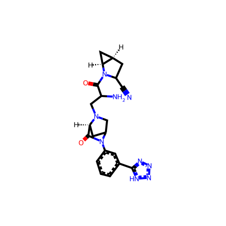 N#CC1C[C@@H]2C[C@@H]2N1C(=O)C(N)CN1CC2C[C@H]1C(=O)N2c1cccc(-c2nnn[nH]2)c1